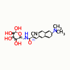 CN(C)c1ccc2cc(/C=C(\C#N)C(=O)NC[C@H]3OC(O)[C@H](O)[C@@H](O)[C@@H]3O)ccc2c1